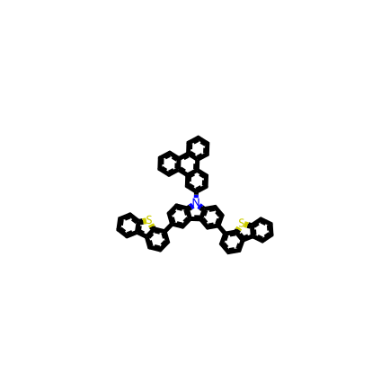 c1ccc2c(c1)sc1c(-c3ccc4c(c3)c3cc(-c5cccc6c5sc5ccccc56)ccc3n4-c3ccc4c5ccccc5c5ccccc5c4c3)cccc12